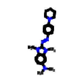 CN(C)c1ccc2c(c1)N(C)C(N=Nc1ccc(N3CCCCC3)cc1)N2C